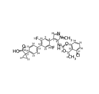 C[C@@H](OC(=O)Nc1c(-c2cc(F)c(-c3ccc(C4(C(=O)O)CC4)cc3)cc2F)cnn1C)c1ccccc1Cl